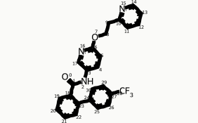 O=C(Nc1ccc(OCCc2ccccn2)nc1)c1ccccc1-c1ccc(C(F)(F)F)cc1